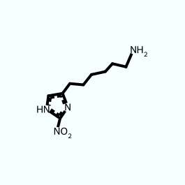 NCCCCCCc1c[nH]c([N+](=O)[O-])n1